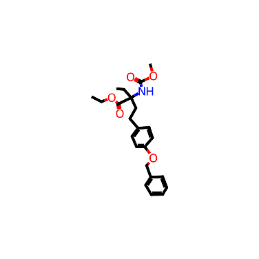 CCOC(=O)C(CC)(CCc1ccc(OCc2ccccc2)cc1)NC(=O)OC